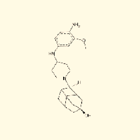 COc1cc(NC2CCN([C@H]3C4CC5CC3C[C@@](O)(C5)C4)CC2)ccc1N